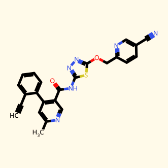 C#Cc1ccccc1-c1cc(C)ncc1C(=O)Nc1nnc(OCc2ccc(C#N)cn2)s1